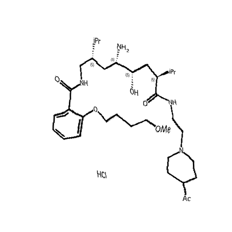 COCCCCOc1ccccc1C(=O)NC[C@@H](C[C@H](N)[C@@H](O)C[C@H](C(=O)NCCN1CCC(C(C)=O)CC1)C(C)C)C(C)C.Cl